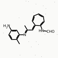 CC(/C=C1\C=CC=CC=C1NC=O)=N\c1cc(N)ccc1C